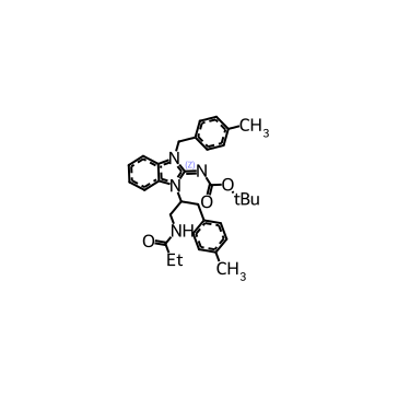 CCC(=O)NCC(Cc1ccc(C)cc1)n1/c(=N\C(=O)OC(C)(C)C)n(Cc2ccc(C)cc2)c2ccccc21